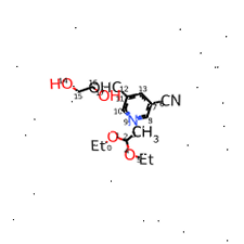 CCOC(C)OCC.N#Cc1cncc(C=O)c1.OCCO